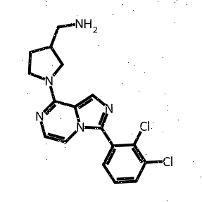 NCC1CCN(c2nccn3c(-c4cccc(Cl)c4Cl)ncc23)C1